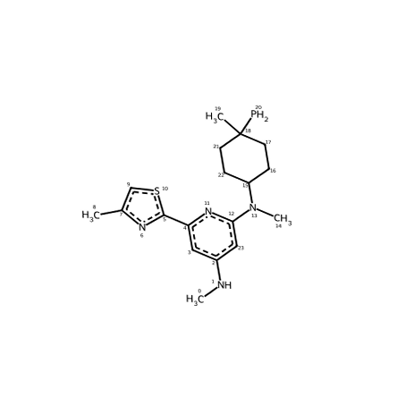 CNc1cc(-c2nc(C)cs2)nc(N(C)C2CCC(C)(P)CC2)c1